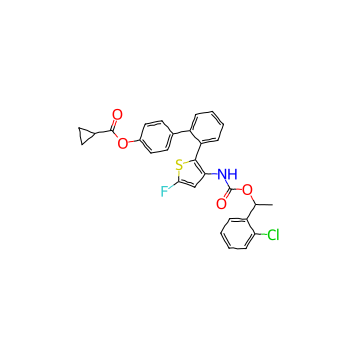 CC(OC(=O)Nc1cc(F)sc1-c1ccccc1-c1ccc(OC(=O)C2CC2)cc1)c1ccccc1Cl